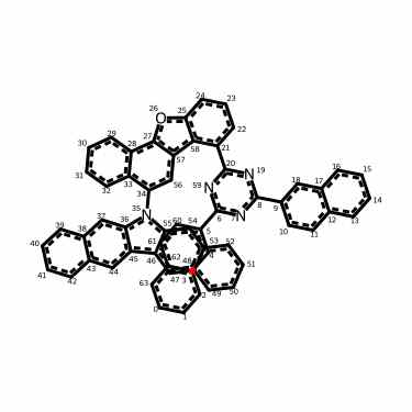 c1ccc2cc(-c3nc(-c4ccc5ccccc5c4)nc(-c4cccc5oc6c7ccccc7c(-n7c8cc9ccccc9cc8c8cc9ccccc9cc87)cc6c45)n3)ccc2c1